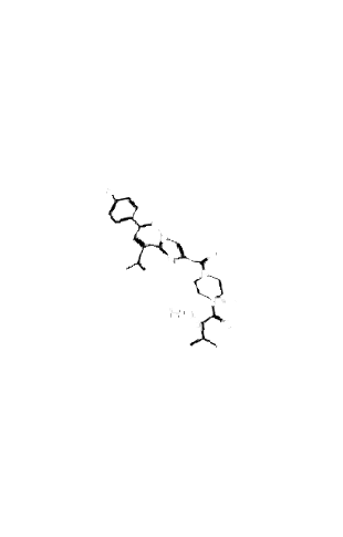 CC(C)c1cc(-c2ccc(F)cc2)nn2cc(C(=O)N3CCN(C(=O)[C@@H](O)C(C)C)[C@@H](C)C3)nc12